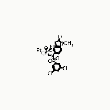 CCOP(=O)(CN(c1ccc2c(c1)CC(=O)N2C)S(=O)(=O)c1cc(Cl)cc(Cl)c1)OCC